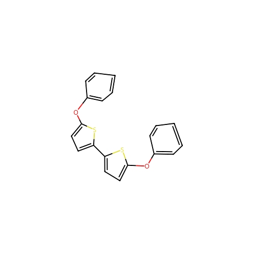 c1ccc(Oc2ccc(-c3ccc(Oc4ccccc4)s3)s2)cc1